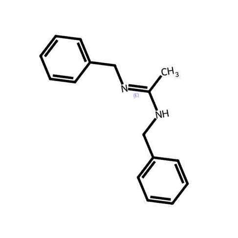 C/C(=N\Cc1ccccc1)NCc1ccccc1